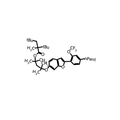 CCCCCc1ccc(-c2cc3ccc(OC(C)(C)CC(C)(C)OC(=O)C(C)(CC(C)(C)C)C(C)(C)C)cc3o2)c(OC(F)(F)F)c1